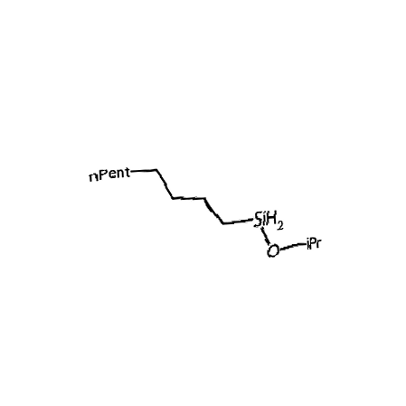 CCCCCCCCC[SiH2]OC(C)C